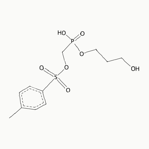 Cc1ccc(S(=O)(=O)OCP(=O)(O)OCCCO)cc1